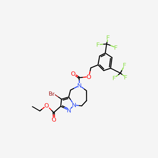 CCOC(=O)c1nn2c(c1Br)CN(C(=O)OCc1cc(C(F)(F)F)cc(C(F)(F)F)c1)CCC2